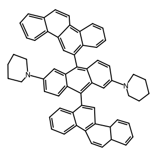 C1=CC2C=Cc3c(cc(-c4c5cc(N6CCCCC6)ccc5c(-c5cc6c7ccccc7ccc6c6ccccc56)c5cc(N6CCCCC6)ccc45)c4ccccc34)C2C=C1